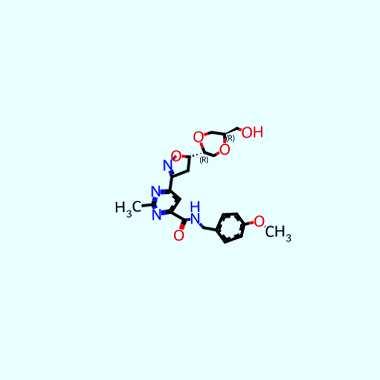 COc1ccc(CNC(=O)c2cc(C3=NOC([C@H]4CO[C@H](CO)CO4)C3)nc(C)n2)cc1